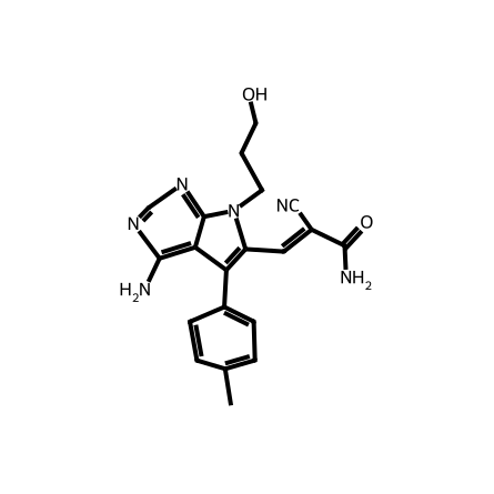 Cc1ccc(-c2c(/C=C(\C#N)C(N)=O)n(CCCO)c3ncnc(N)c23)cc1